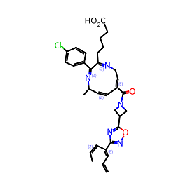 C=C/C=C(\C=C/C)c1noc(C2CN(C(=O)C3=C/C/N=C(CCCCC(=O)O)\C(c4ccc(Cl)cc4)=N/C(C)/C=C\3)C2)n1